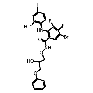 Cc1cc(I)ccc1Nc1c(C(=O)NOCC(O)COc2ccccc2)cc(Br)c(F)c1F